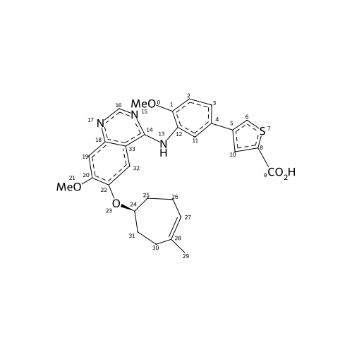 COc1ccc(-c2csc(C(=O)O)c2)cc1Nc1ncnc2cc(OC)c(O[C@H]3CCC=C(C)CC3)cc12